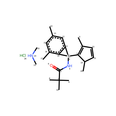 CC1=[C]([Ti]2([NH]C(=O)C(C)(C)C)[c]3cc(C)cc(C)[c]32)C(C)C=C1.CNC.Cl